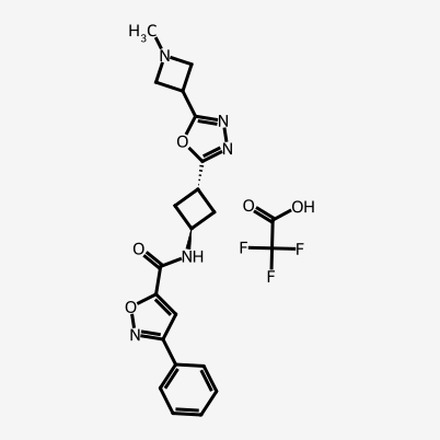 CN1CC(c2nnc([C@H]3C[C@H](NC(=O)c4cc(-c5ccccc5)no4)C3)o2)C1.O=C(O)C(F)(F)F